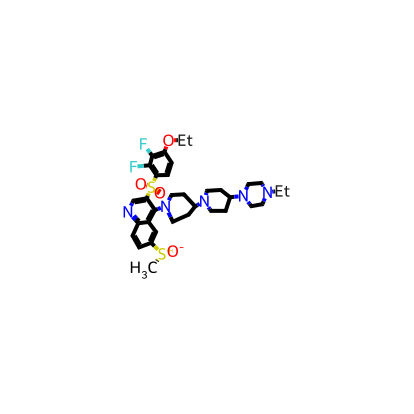 CCOc1ccc(S(=O)(=O)c2cnc3ccc([S+](C)[O-])cc3c2N2CCC(N3CCC(N4CCN(CC)CC4)CC3)CC2)c(F)c1F